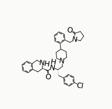 O=C(N[C@@H](Cc1ccc(Cl)cc1)CN1CCC(c2ccccc2CN2CCCC2=O)CC1)[C@H]1Cc2ccccc2CN1